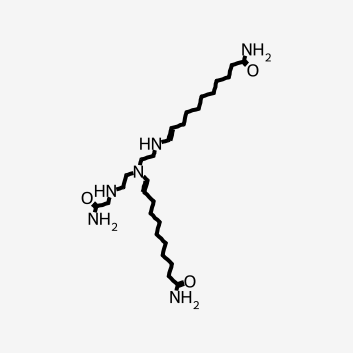 NC(=O)CCCCCCCCC=CNCCN(C=CCCCCCCCCC(N)=O)CCNCC(N)=O